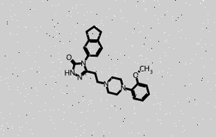 COc1ccccc1N1CCN(CCc2n[nH]c(=O)n2-c2ccc3c(c2)CCC3)CC1